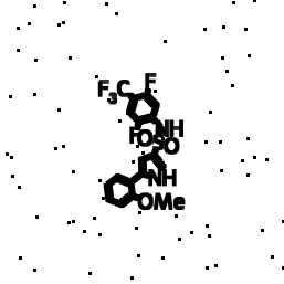 COc1ccccc1-c1cc(S(=O)(=O)Nc2cc(F)c(C(F)(F)F)cc2F)c[nH]1